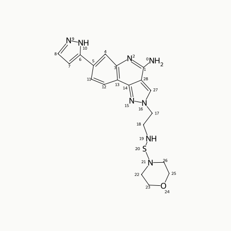 Nc1nc2cc(-c3ccn[nH]3)ccc2c2nn(CCNSN3CCOCC3)cc12